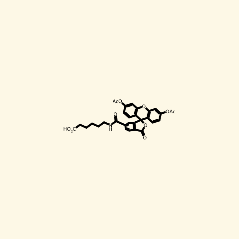 CC(=O)Oc1ccc2c(c1)Oc1cc(OC(C)=O)ccc1C21OC(=O)c2ccc(C(=O)NCCCCCC(=O)O)cc21